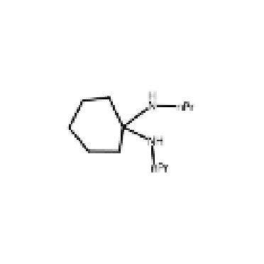 CCCNC1(NCCC)CCCCC1